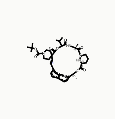 CC(C)C1OC(=O)C2(/C=C/c3ccc4ccc(nc4c3)[C@@H](C)CC(=O)[C@@H]3CCCN(N3)C(=O)[C@H](C)NC1=O)CCN(C(=O)OC(C)(C)C)CC2